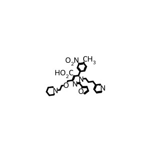 Cc1ccc(C2C(C(=O)O)=C(COCCN3CCCCC3)N=C(c3ccco3)N2CCCc2cccnc2)cc1[N+](=O)[O-]